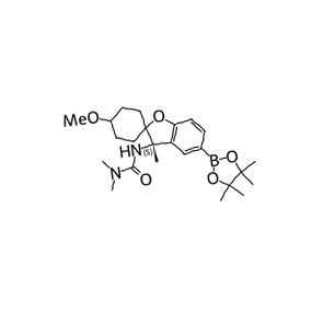 COC1CCC2(CC1)Oc1ccc(B3OC(C)(C)C(C)(C)O3)cc1[C@]2(C)NC(=O)N(C)C